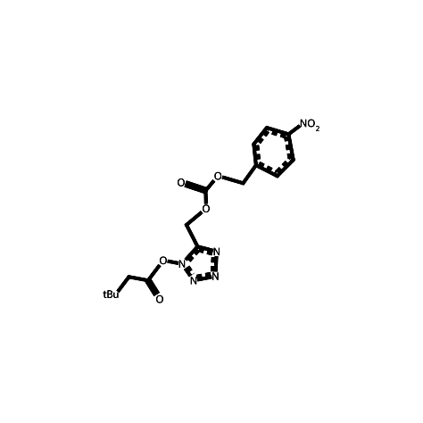 CC(C)(C)CC(=O)On1nnnc1COC(=O)OCc1ccc([N+](=O)[O-])cc1